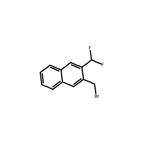 FC(F)c1cc2ccccc2cc1CBr